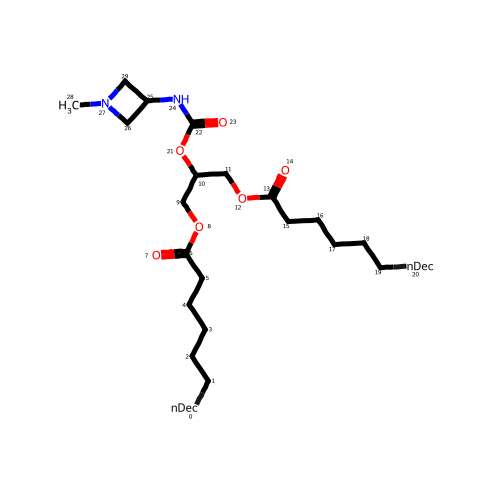 CCCCCCCCCCCCCCCC(=O)OCC(COC(=O)CCCCCCCCCCCCCCC)OC(=O)NC1CN(C)C1